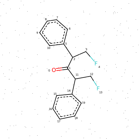 O=C(C(CF)c1ccccc1)C(CF)c1ccccc1